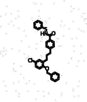 O=C(NSc1ccccc1)c1ccc(CCCc2cc(Cl)ccc2OCc2ccccc2)cc1